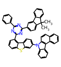 CC1(C)c2ccccc2-c2cc(-c3nc(-c4ccccc4)nc(-c4cccc5sc6cc(-n7c8ccccc8c8c9ccccc9ccc87)ccc6c45)n3)ccc21